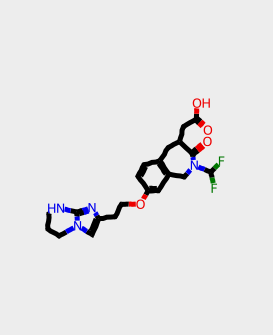 O=C(O)CC1Cc2ccc(OCCc3cn4c(n3)NCCC4)cc2CN(C(F)F)C1=O